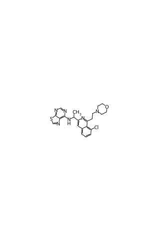 CC(Nc1ncnc2scnc12)c1cc2cccc(Cl)c2c(CCN2CCOCC2)n1